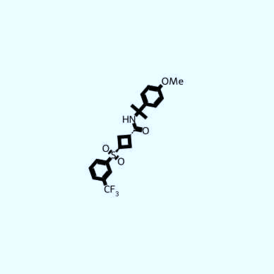 COc1ccc(C(C)(C)NC(=O)[C@H]2C[C@H](S(=O)(=O)c3cccc(C(F)(F)F)c3)C2)cc1